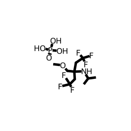 COCC(CC(F)(F)F)(CC(F)(F)F)NC(C)C.O=P(O)(O)O